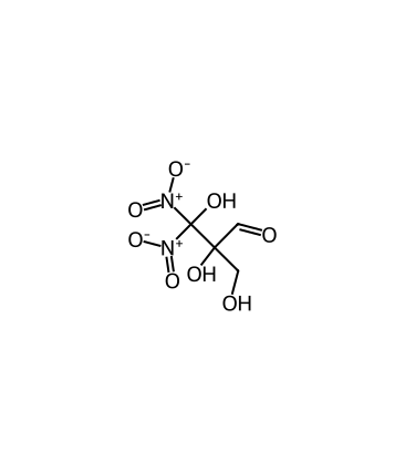 O=CC(O)(CO)C(O)([N+](=O)[O-])[N+](=O)[O-]